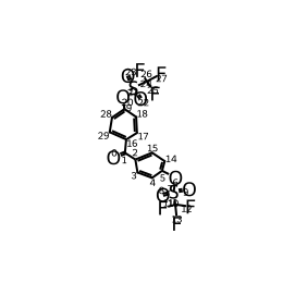 O=C(c1ccc(OS(=O)(=O)C(F)(F)F)cc1)c1ccc(OS(=O)(=O)C(F)(F)F)cc1